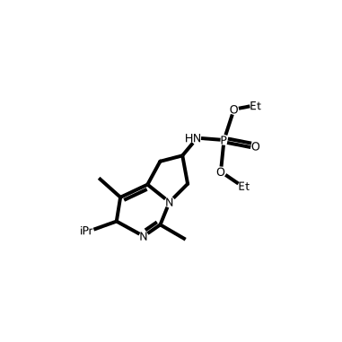 CCOP(=O)(NC1CC2=C(C)C(C(C)C)N=C(C)N2C1)OCC